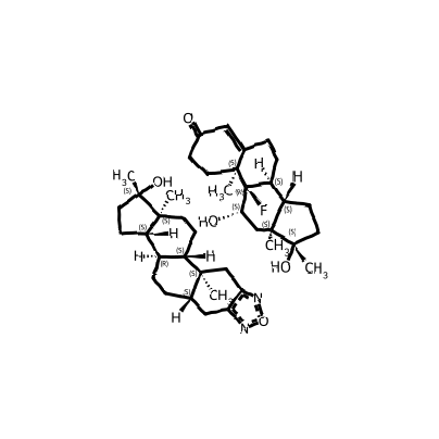 C[C@]1(O)CC[C@H]2[C@@H]3CCC4=CC(=O)CC[C@]4(C)[C@@]3(F)[C@@H](O)C[C@@]21C.C[C@]12Cc3nonc3C[C@@H]1CC[C@@H]1[C@@H]2CC[C@@]2(C)[C@H]1CC[C@]2(C)O